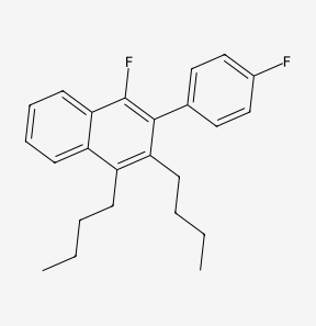 CCCCc1c(-c2ccc(F)cc2)c(F)c2ccccc2c1CCCC